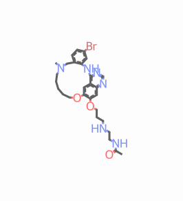 CC(=O)NCCNCCCOc1cc2ncnc3c2cc1OCCCCCN(C)Cc1ccc(Br)cc1N3